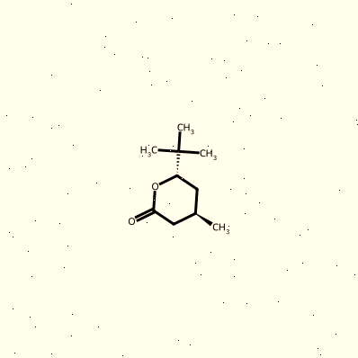 C[C@H]1CC(=O)O[C@H](C(C)(C)C)C1